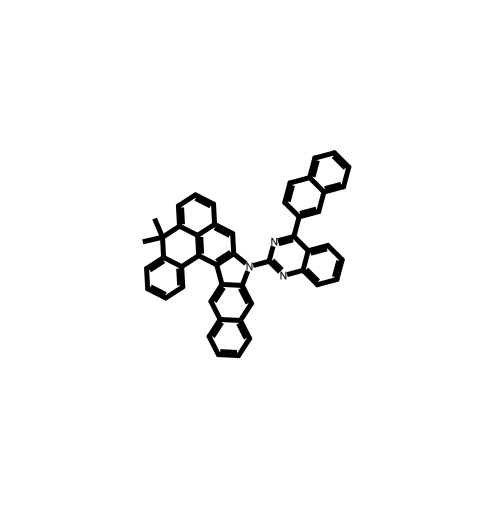 CC1(C)c2ccccc2-c2c3c1cccc3cc1c2c2cc3ccccc3cc2n1-c1nc(-c2ccc3ccccc3c2)c2ccccc2n1